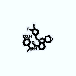 C[C@H](NC(=O)c1cccc2c1N(Cc1ccc(F)c(F)c1)CC21CCOCC1)c1ccc(C(=O)O)cc1